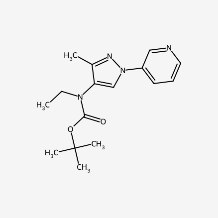 CCN(C(=O)OC(C)(C)C)c1cn(-c2cccnc2)nc1C